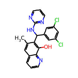 Cc1cc2cccnc2c(O)c1C(Nc1ncccn1)c1cc(Cl)cc(Cl)c1